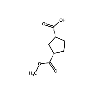 COC(=O)[C@H]1CC[C@@H](C(=O)O)C1